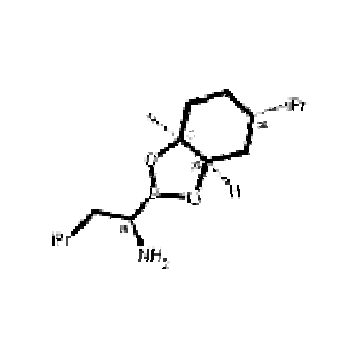 CC(C)C[C@H](N)B1O[C@@H]2C[C@@H](C(C)C)CC[C@]2(C)O1